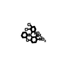 Nc1c([N+](=O)[O-])ccc(Oc2ccccc2)c1Nc1c([N+](=O)[O-])ccc(Cl)c1Cl